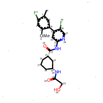 COc1cc(F)c(C)cc1-c1cc(NC(=O)[C@H]2CCC[C@@H](NC(=O)CO)C2)ncc1F